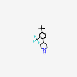 CC(C)(C)c1ccc(C2CCNCC2)c(C(F)(F)F)c1